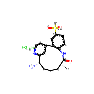 C[C@@H]1CCC[C@H](N)c2cc(ccn2)-c2cc(S(C)(=O)=O)ccc2NC1=O.Cl.Cl